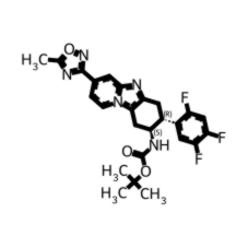 Cc1nc(-c2ccn3c4c(nc3c2)C[C@H](c2cc(F)c(F)cc2F)[C@@H](NC(=O)OC(C)(C)C)C4)no1